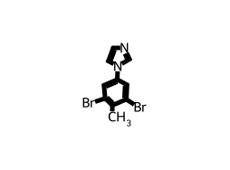 Cc1c(Br)cc(-n2ccnc2)cc1Br